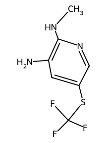 CNc1ncc(SC(F)(F)F)cc1N